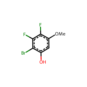 COc1cc(O)c(Br)c(F)c1F